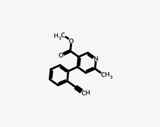 C#Cc1ccccc1-c1cc(C)ncc1C(=O)OC